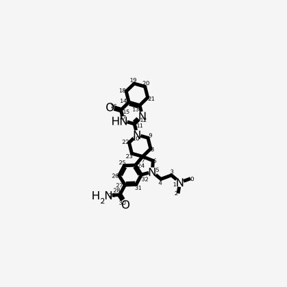 CN(C)CCN1CC2(CCN(c3nc4c(c(=O)[nH]3)CCCC4)CC2)c2ccc(C(N)=O)cc21